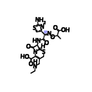 CCNCC1=C(C(=O)O)N2C(=O)C(NC(=O)/C(=N\OC(C)C(=O)O)c3csc(N)n3)[C@H]2SC1